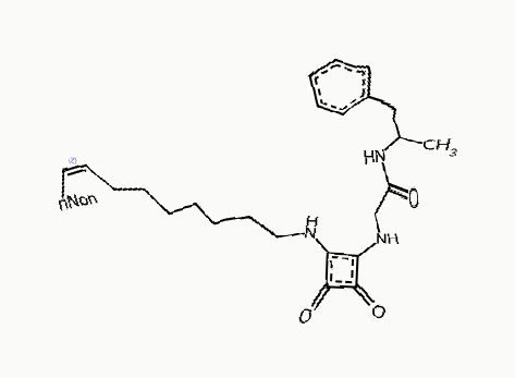 CCCCCCCCC/C=C\CCCCCCCNc1c(NCC(=O)NC(C)Cc2ccccc2)c(=O)c1=O